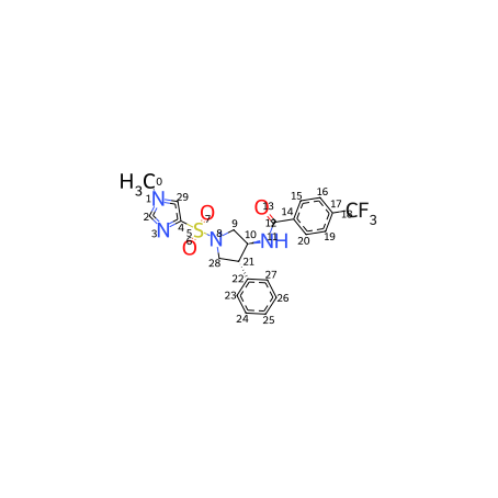 Cn1cnc(S(=O)(=O)N2C[C@@H](NC(=O)c3ccc(C(F)(F)F)cc3)[C@H](c3ccccc3)C2)c1